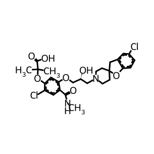 CNC(=O)c1cc(Cl)c(OC(C)(C)C(=O)O)cc1OC[C@H](O)CN1CCC2(CC1)Cc1cc(Cl)ccc1O2